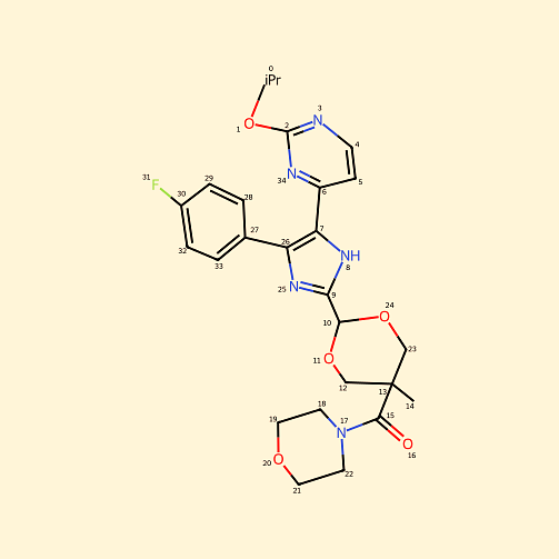 CC(C)Oc1nccc(-c2[nH]c(C3OCC(C)(C(=O)N4CCOCC4)CO3)nc2-c2ccc(F)cc2)n1